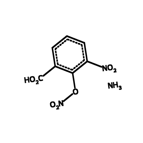 N.O=C(O)c1cccc([N+](=O)[O-])c1O[N+](=O)[O-]